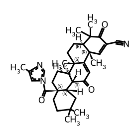 Cc1cn(C(=O)[C@]23CCC(C)(C)C[C@H]2[C@H]2C(=O)C=C4[C@@]5(C)C=C(C#N)C(=O)C(C)(C)[C@@H]5CC[C@@]4(C)[C@]2(C)CC3)cn1